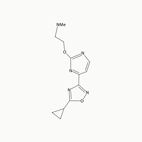 CNCCOc1nccc(-c2noc(C3CC3)n2)n1